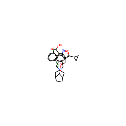 O=C(O)c1ccc2c(c1)CN(C1C3CCC1CC(OCc1c(-c4c(Cl)cccc4Cl)noc1C1CC1)C3)C2